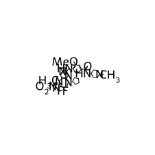 COc1cc(C(=O)NC2CCN(C)CC2)ccc1Nc1ncc2c(n1)N(C1CCCC1)CC(F)(F)/C(=N/[N+](=O)[O-])N2C